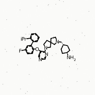 CC(C)c1ccccc1-c1cc(F)ccc1Oc1cncnc1N1CCC2(CCN(C[C@H]3CC[C@H](N)CC3)C2)C1